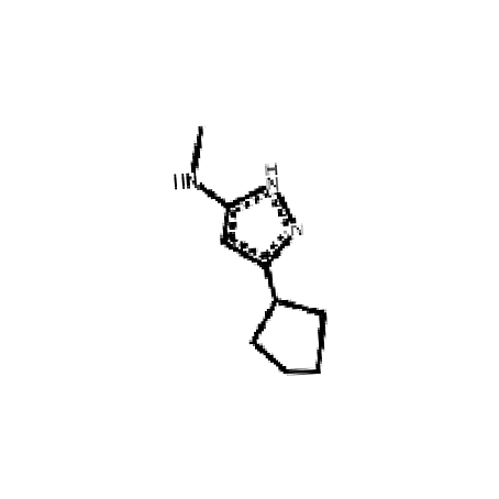 CNc1cc(C2CCCC2)n[nH]1